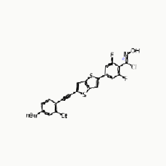 CCCCc1ccc(C#Cc2cc3sc(-c4cc(F)c(/C(Cl)=N/O)c(F)c4)cc3s2)c(CC)c1